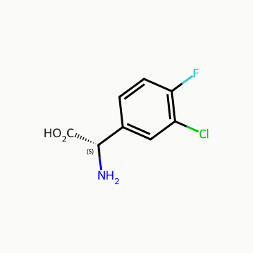 N[C@H](C(=O)O)c1ccc(F)c(Cl)c1